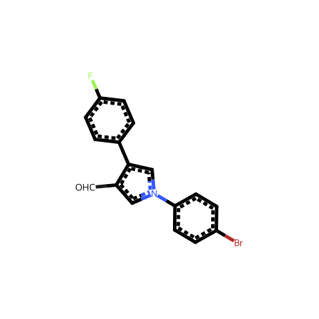 O=Cc1cn(-c2ccc(Br)cc2)cc1-c1ccc(F)cc1